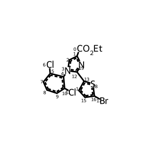 CCOC(=O)c1cn(-c2c(Cl)cccc2Cl)c(-c2ccc(Br)s2)n1